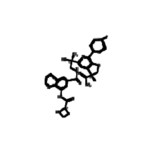 C[C@]1(C(N)=O)COc2c1cc([C@@](O)(CNC(=O)c1cc(NC(=O)[C@H]3CCN3)c3ncccc3c1)C(F)(F)F)nc2-c1ccc(F)cc1